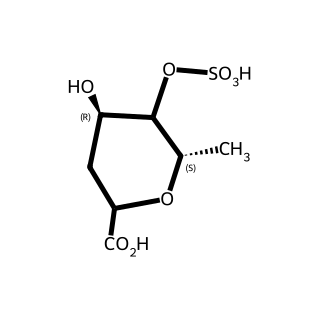 C[C@@H]1OC(C(=O)O)C[C@@H](O)C1OS(=O)(=O)O